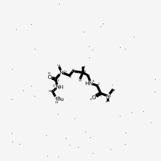 CN(C)C(=O)CNCC(C)(C)CCN(C)C(=O)NCC(C)(C)C